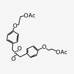 CC(=O)OCCOc1ccc(CS(=O)(=O)Cc2ccc(OCCOC(C)=O)cc2)cc1